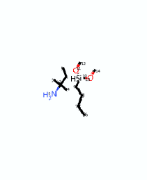 CCC(C)(C)N.CCCC[SiH](OC)OC